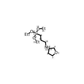 C1CCOC1.CCO[Si](CCCN)(OCC)OCC